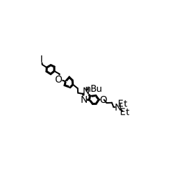 CCCCn1c(CCc2ccc(OCc3ccc(CI)cc3)cc2)nc2ccc(OCCCN(CC)CC)cc21